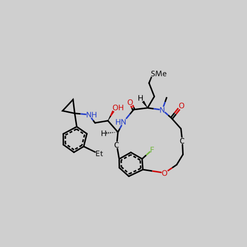 CCc1cccc(C2(NC[C@@H](O)[C@@H]3Cc4ccc(c(F)c4)OCCCCC(=O)N(C)[C@@H](CCSC)C(=O)N3)CC2)c1